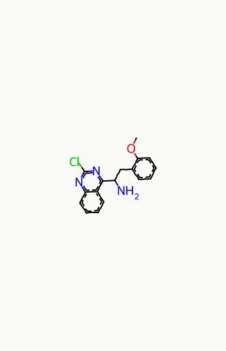 COc1ccccc1CC(N)c1nc(Cl)nc2ccccc12